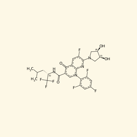 CC(C)C[C@H](NC(=O)c1cn(-c2c(F)cc(F)cc2F)c2nc(N3C[C@@H](O)[C@@H](O)C3)c(F)cc2c1=O)C(F)(F)F